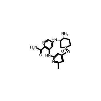 Cc1cc(C)nc(Nc2cc(N[C@H]3CS(=O)(=O)CC[C@H]3N)cnc2C(N)=O)c1